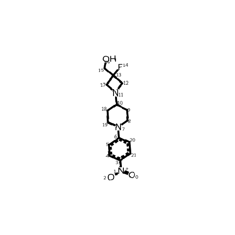 O=[N+]([O-])c1ccc(N2CCC(N3CC(F)(CO)C3)CC2)cc1